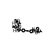 COC(=O)N[C@H](C(=O)N1CC2(CC2)C[C@H]1c1nc(-c2ccc(C#Cc3ccc4[nH]c([C@@H]5CCCN5C(=O)[C@@H](C)C(C)C)nc4c3)cc2)c[nH]1)C(C)C